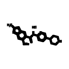 COc1cc2nc(C)cn2cc1C(=O)Nc1ccc(C2CCNCC2)cn1.Cl